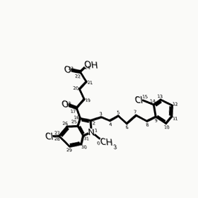 Cn1c(CCCCCCc2ccccc2Cl)c(C(=O)CCCC(=O)O)c2cc(Cl)ccc21